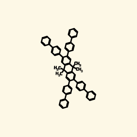 CC1(C)c2cc(-c3ccc(-c4ccccc4)cc3)c(-c3ccc(-c4ccccc4)cc3)cc2C(C)(C)c2cc(-c3ccc(-c4ccccc4)cc3)c(-c3ccc(-c4ccccc4)cc3)cc21